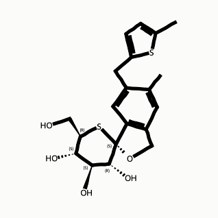 Cc1ccc(Cc2cc3c(cc2C)CO[C@]32S[C@H](CO)[C@@H](O)[C@H](O)[C@H]2O)s1